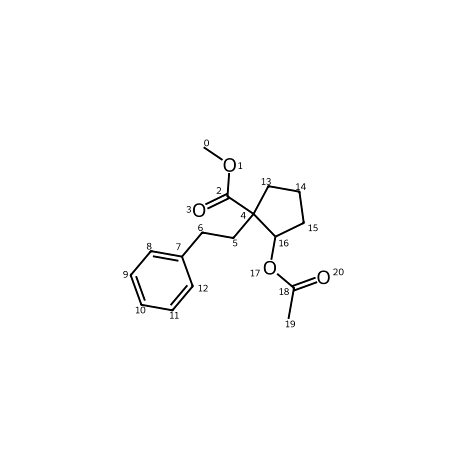 COC(=O)C1(CCc2ccccc2)CCCC1OC(C)=O